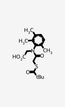 Cc1ccc(C)c(N(CC(=O)O)C(=O)CSC(=O)C(C)(C)C)c1C